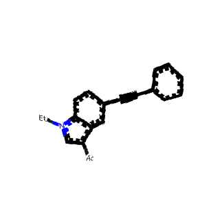 CCn1cc(C(C)=O)c2cc(C#Cc3ccccc3)ccc21